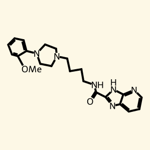 COc1ccccc1N1CCN(CCCCNC(=O)c2nc3cccnc3[nH]2)CC1